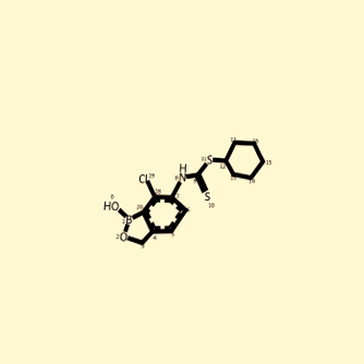 OB1OCc2ccc(NC(=S)SC3CCCCC3)c(Cl)c21